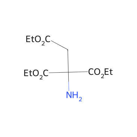 CCOC(=O)CC(N)(C(=O)OCC)C(=O)OCC